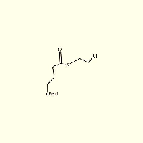 CCCCCCCCC(=O)OCCCl